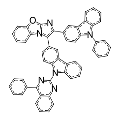 c1ccc(-c2nc(-n3c4ccccc4c4cc(-c5c(-c6ccc7c(c6)c6ccccc6n7-c6ccccc6)nc6oc7ccccc7n56)ccc43)nc3ccccc23)cc1